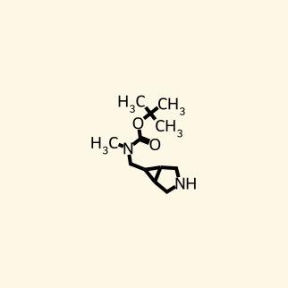 CN(CC1C2CNCC21)C(=O)OC(C)(C)C